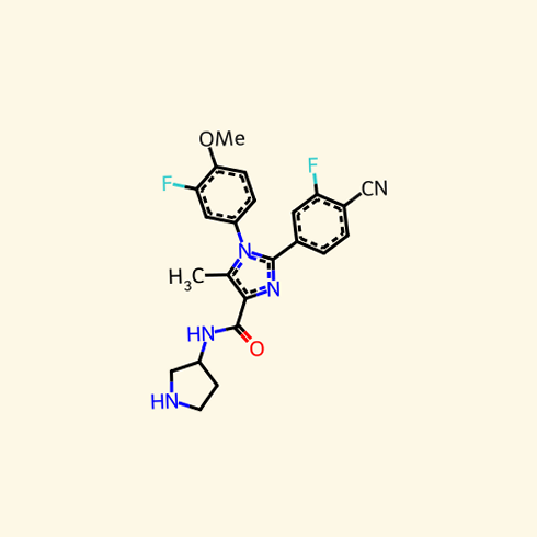 COc1ccc(-n2c(-c3ccc(C#N)c(F)c3)nc(C(=O)NC3CCNC3)c2C)cc1F